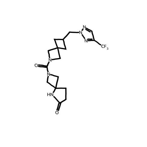 O=C1CCC2(CN(C(=O)N3CC4(CC(Cn5ncc(C(F)(F)F)n5)C4)C3)C2)N1